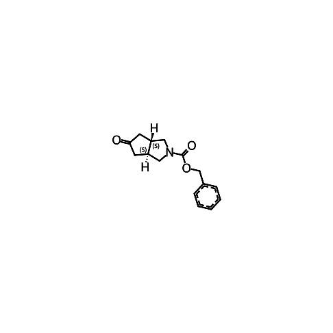 O=C1C[C@@H]2CN(C(=O)OCc3ccccc3)C[C@H]2C1